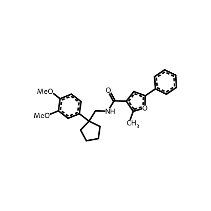 COc1ccc(C2(CNC(=O)c3cc(-c4ccccc4)oc3C)CCCC2)cc1OC